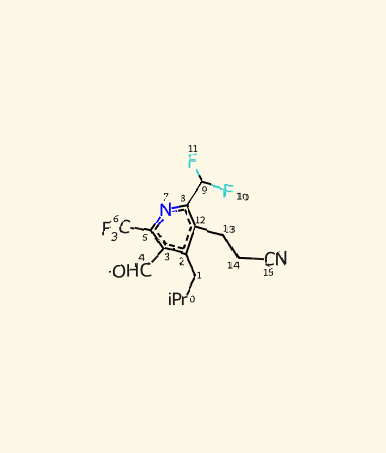 CC(C)Cc1c([C]=O)c(C(F)(F)F)nc(C(F)F)c1CCC#N